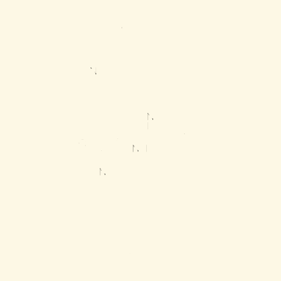 N#CC/C(C(=N)C(=O)N1Cc2ccc(F)cc2C1)=C(/Nc1ccccc1Cl)c1ccc(Cl)cc1